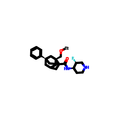 CCOC[C@]12CC3CC1(C(=O)N[C@@H]1CCNC[C@H]1F)C[C@@](c1ccccc1)(C3)C2